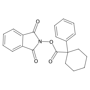 O=C1c2ccccc2C(=O)N1OC(=O)C1(c2ccccc2)CCCCC1